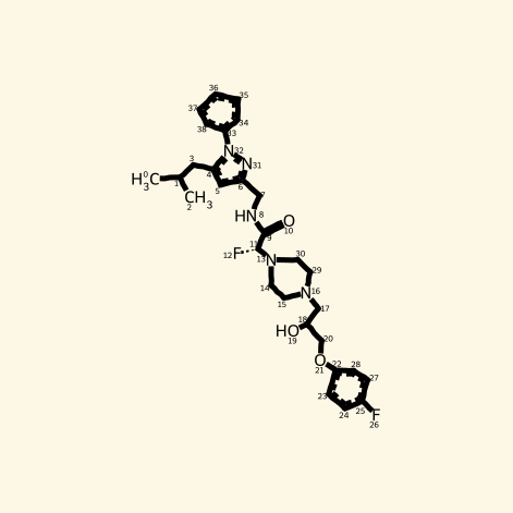 CC(C)Cc1cc(CNC(=O)[C@@H](F)N2CCN(CC(O)COc3ccc(F)cc3)CC2)nn1-c1ccccc1